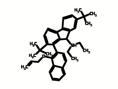 C=CCOc1c(-c2c(C(C)(C)C)ccc3c2C([SiH](CC)CC)c2cc(C(C)(C)C)ccc2-3)ccc2ccccc12